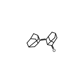 O=C1C2CC3CC(C2)C(=C2C4CC5CC(C4)CC2C5)C1C3